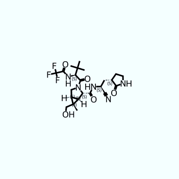 CC(C)(C)[C@H](NC(=O)C(F)(F)F)C(=O)N1C[C@H]2[C@@H]([C@H]1C(=O)N[C@H](C#N)C[C@@H]1CCNC1=O)[C@]2(C)CO